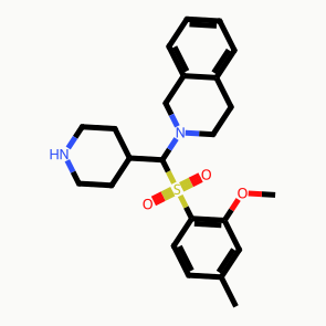 COc1cc(C)ccc1S(=O)(=O)C(C1CCNCC1)N1CCc2ccccc2C1